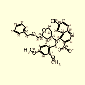 COc1ccc(CN(c2c([N+](=O)[O-])cnc3ccc(Cl)cc23)[C@@H]2CCO[C@H](COCc3ccccc3)C2)c(OC)c1